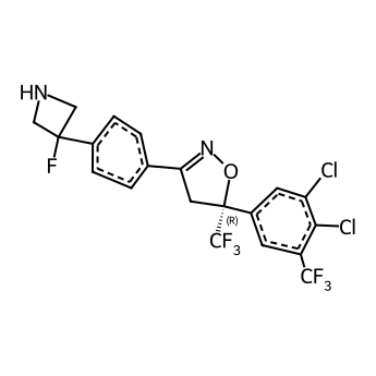 FC(F)(F)c1cc([C@@]2(C(F)(F)F)CC(c3ccc(C4(F)CNC4)cc3)=NO2)cc(Cl)c1Cl